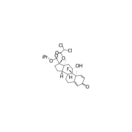 CC(C)OC(=O)[C@@]1(OC(=O)C(Cl)Cl)CC[C@H]2[C@@H]3CCC4=CC(=O)C=C[C@]4(C)[C@@]3(F)[C@@H](O)C[C@@]21C